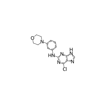 Clc1nc(Nc2cccc(N3CCOCC3)c2)nc2[nH]cnc12